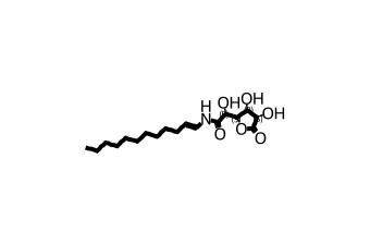 CCCCCCCCCCC=CNC(=O)[C@H](O)[C@H]1OC(=O)[C@@H](O)[C@H]1O